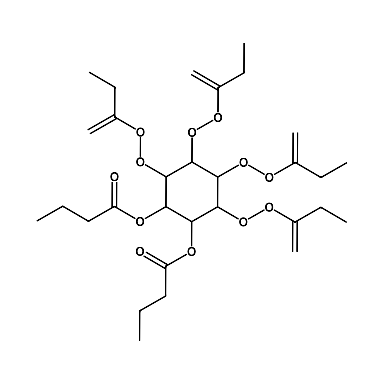 C=C(CC)OOC1C(OOC(=C)CC)C(OOC(=C)CC)C(OC(=O)CCC)C(OC(=O)CCC)C1OOC(=C)CC